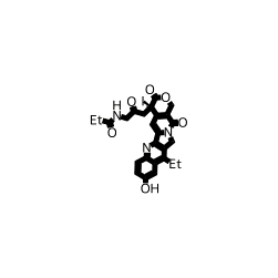 CCC(=O)NCC(=O)C[C@]1(I)C(=O)OCc2c1cc1n(c2=O)Cc2c-1nc1ccc(O)cc1c2CC